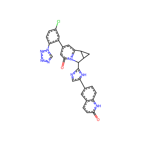 O=c1ccc2cc(-c3cnc(C4C5CC5c5cc(-c6cc(Cl)ccc6-n6cnnn6)cc(=O)n54)[nH]3)ccc2[nH]1